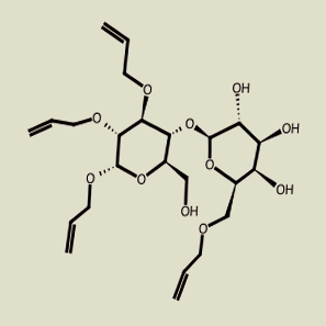 C=CCOC[C@H]1O[C@@H](O[C@H]2[C@H](OCC=C)[C@@H](OCC=C)[C@@H](OCC=C)O[C@@H]2CO)[C@H](O)[C@@H](O)[C@H]1O